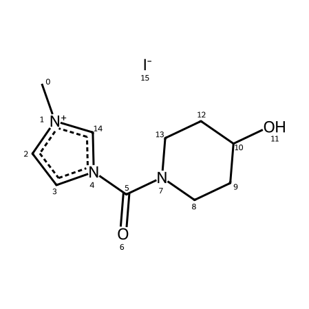 C[n+]1ccn(C(=O)N2CCC(O)CC2)c1.[I-]